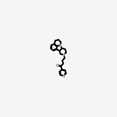 O=C(CCCN1CCC2C(C1)c1cccc3c1N2CCC3)c1ccncc1